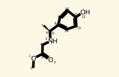 COC(=O)CN[C@@H](C)c1ccc(O)cc1